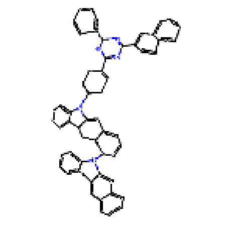 C1=CC(n2c3ccccc3c3cc4ccccc4cc32)C2CC3C(=CC2=C1)N(C1CC=C(C2=NC(c4ccc5ccccc5c4)=NC(c4ccccc4)N2)CC1)c1ccccc13